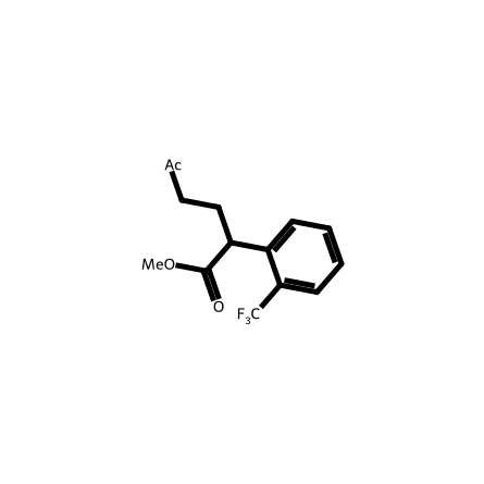 COC(=O)C(CCC(C)=O)c1ccccc1C(F)(F)F